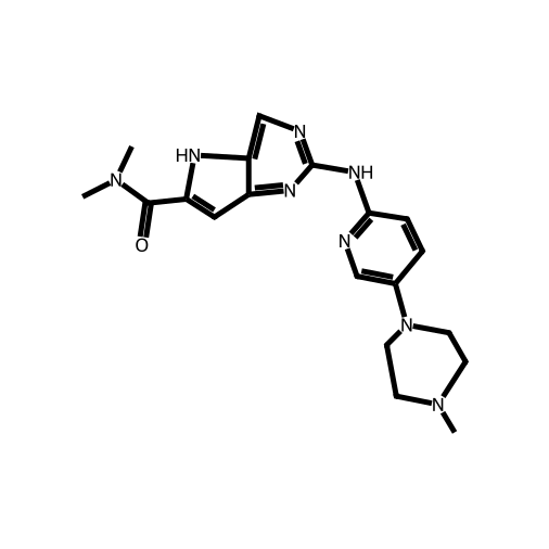 CN1CCN(c2ccc(Nc3ncc4[nH]c(C(=O)N(C)C)cc4n3)nc2)CC1